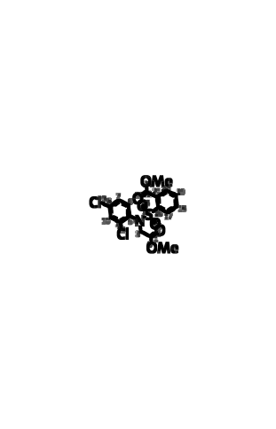 COC(=O)CN(c1ccc(Cl)cc1Cl)S(=O)(=O)c1ccccc1C(=O)OC